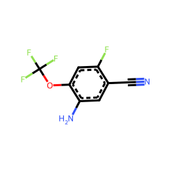 N#Cc1cc(N)c(OC(F)(F)F)cc1F